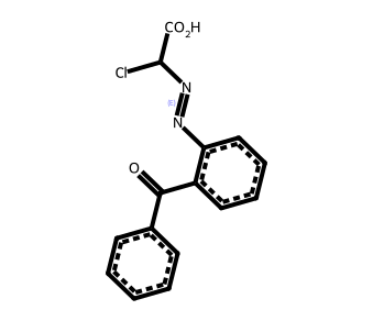 O=C(c1ccccc1)c1ccccc1/N=N/C(Cl)C(=O)O